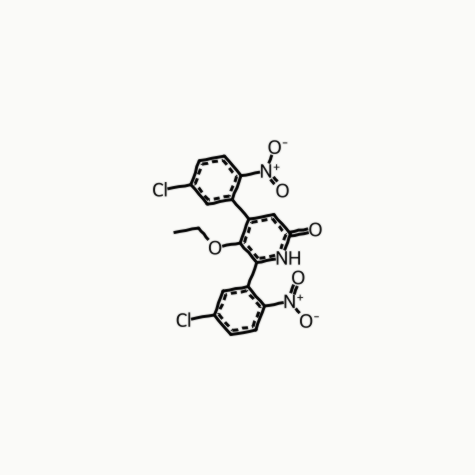 CCOc1c(-c2cc(Cl)ccc2[N+](=O)[O-])cc(=O)[nH]c1-c1cc(Cl)ccc1[N+](=O)[O-]